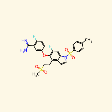 Cc1ccc(S(=O)(=O)n2ccc3c(CCS(C)(=O)=O)c(Oc4ccc(F)c(C(=N)N)c4)c(F)cc32)cc1